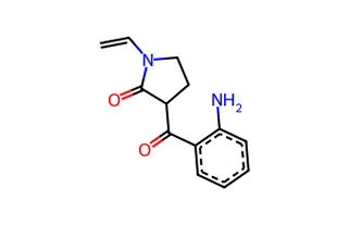 C=CN1CCC(C(=O)c2ccccc2N)C1=O